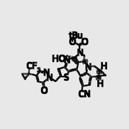 CC(C)(C)OC(=O)N1C[C@@H](N2C[C@H]3C[C@H]3c3cc(C#N)cc(-c4ccnc5cc(Cn6ncc(C7(C(F)(F)F)CC7)cc6=O)sc45)c32)C[C@@H]1CO